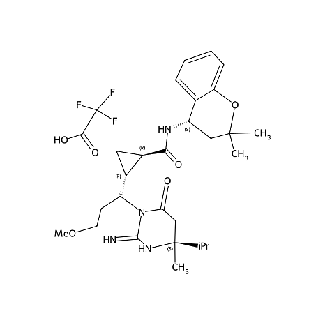 COCCC([C@@H]1C[C@H]1C(=O)N[C@H]1CC(C)(C)Oc2ccccc21)N1C(=N)N[C@](C)(C(C)C)CC1=O.O=C(O)C(F)(F)F